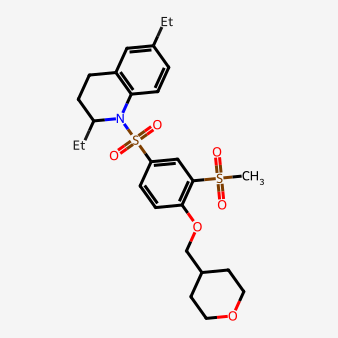 CCc1ccc2c(c1)CCC(CC)N2S(=O)(=O)c1ccc(OCC2CCOCC2)c(S(C)(=O)=O)c1